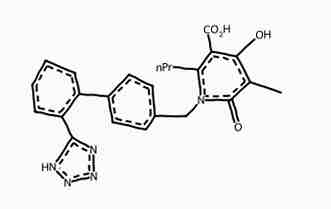 CCCc1c(C(=O)O)c(O)c(C)c(=O)n1Cc1ccc(-c2ccccc2-c2nnn[nH]2)cc1